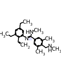 C=Cc1c(CC)cc(CC)cc1/N=C(\NC)c1cc(C)c(CNC)c(C)c1